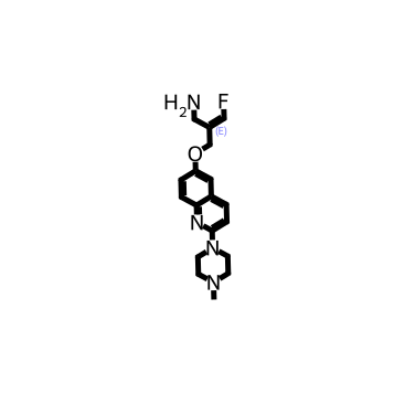 CN1CCN(c2ccc3cc(OC/C(=C/F)CN)ccc3n2)CC1